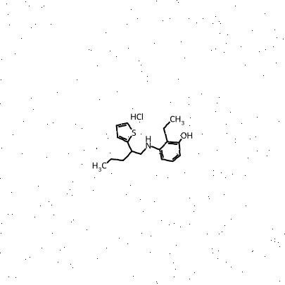 CCCC(CNc1cccc(O)c1CC)c1cccs1.Cl